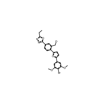 CCc1nnc(-c2ccc(-c3ccc(-c4cc(OC)c(Br)c(OC)c4)o3)c(C[O])c2)o1